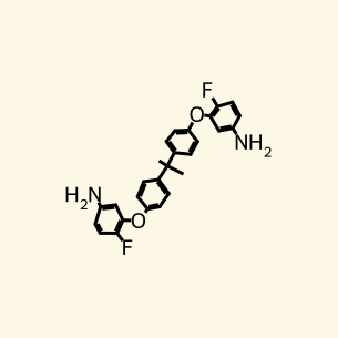 CC(C)(c1ccc(Oc2cc(N)ccc2F)cc1)c1ccc(Oc2cc(N)ccc2F)cc1